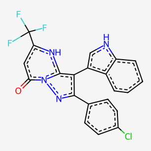 O=c1cc(C(F)(F)F)[nH]c2c(-c3c[nH]c4ccccc34)c(-c3ccc(Cl)cc3)nn12